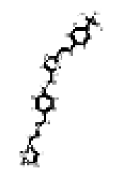 FC(F)(F)c1ccc(C=Cc2nc(COc3ccc(CSCCn4ccnn4)cc3)co2)cc1